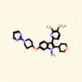 Cn1c(C2CCOCC2)c(-c2ccc(C(=O)O)c(C(F)(F)F)n2)c2ccc(OC3CCN(c4ncccn4)CC3)cc21